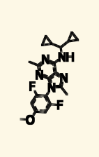 COc1cc(F)c(-n2c(C)nc3c(NC(C4CC4)C4CC4)nc(C)nc32)c(F)c1